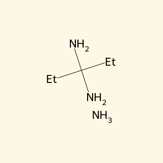 CCC(N)(N)CC.N